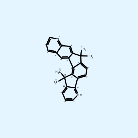 CC1(C)c2cc3ncccc3cc2-c2c1ccc1c2C(C)(C)c2cccnc2-1